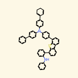 C1=CC(c2ccc(N(c3ccc(-c4ccccc4)cc3)c3ccc(-c4cccc5c4sc4c(-c6ccccc6Nc6ccccc6)cccc45)cc3)cc2)=CCC1